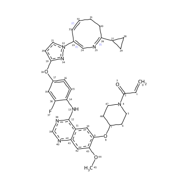 C=CC(=O)N1CCC(Oc2cc3c(NC4=C=C=C(Oc5ccn(C6=C/N=C(/C7CC7)CC/C=C\6)n5)C=C4F)ncnc3cc2OC)CC1